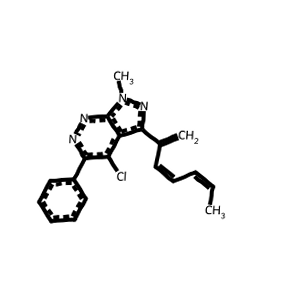 C=C(/C=C\C=C/C)c1nn(C)c2nnc(-c3ccccc3)c(Cl)c12